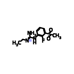 CC/N=C(\N)Nc1cccc(S(C)(=O)=O)c1F